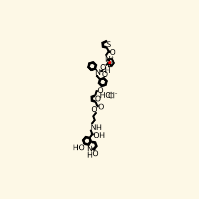 Cl.O=C(OCCCCNC[C@H](O)c1ccc(O)c2[nH]c(=O)ccc12)c1ccc(COc2cccc(CN(C(=O)O[C@H]3C[N+]4(CC(=O)c5cccs5)CCC3CC4)c3ccccc3)c2)o1.[Cl-]